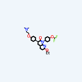 CCOc1ccc2cc(-c3ccc(OCCN(C)C)cc3)c(=O)n(-c3ccc(OC(F)F)cc3)c2n1